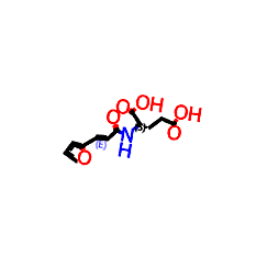 O=C(O)CC[C@H](NC(=O)/C=C/c1ccco1)C(=O)O